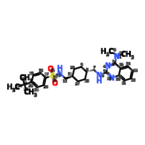 CN(C)c1nc(NC[C@H]2CC[C@H](CNS(=O)(=O)c3ccc(C(C)(C)C)cc3)CC2)nc2ccccc12